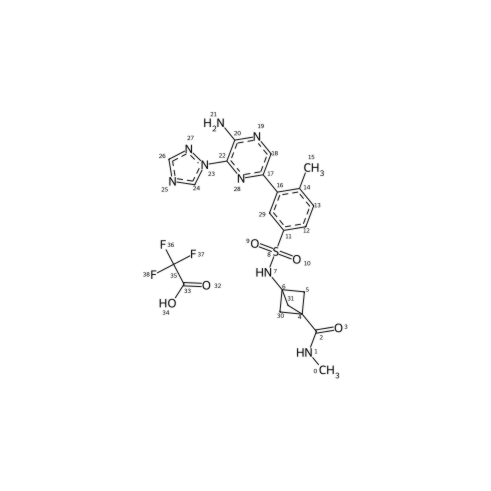 CNC(=O)C12CC(NS(=O)(=O)c3ccc(C)c(-c4cnc(N)c(-n5cncn5)n4)c3)(C1)C2.O=C(O)C(F)(F)F